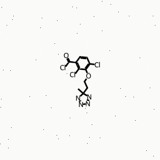 CC1(CCOc2c(Cl)ccc(C(=O)Cl)c2Cl)N=NN=N1